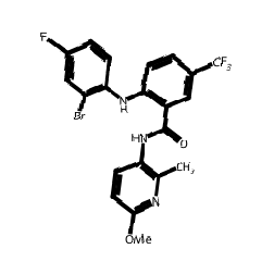 COc1ccc(NC(=O)c2cc(C(F)(F)F)ccc2Nc2ccc(F)cc2Br)c(C)n1